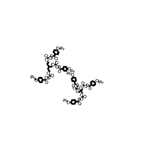 CC(C)Oc1ccc(C(=O)OOC(=O)OCCC(CCOC(=O)OOC(=O)c2ccc(OC(C)C)cc2)COC(=O)OOC(=O)c2ccc(OC(C)C)cc2)cc1.CCC(COC(=O)OOC(=O)c1ccc(OC(C)C)cc1)(COC(=O)OOC(=O)c1ccc(OC(C)C)cc1)COC(=O)OOC(=O)c1ccc(OC(C)C)cc1